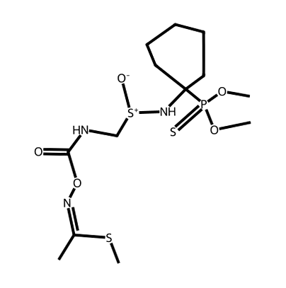 COP(=S)(OC)C1(N[S+]([O-])CNC(=O)ON=C(C)SC)CCCCC1